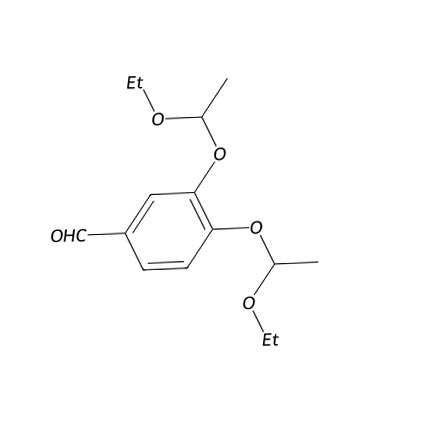 CCOC(C)Oc1ccc(C=O)cc1OC(C)OCC